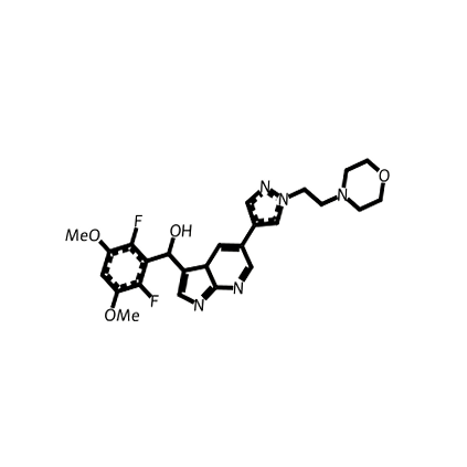 COc1cc(OC)c(F)c(C(O)C2=CN=C3N=CC(c4cnn(CCN5CCOCC5)c4)=CC23)c1F